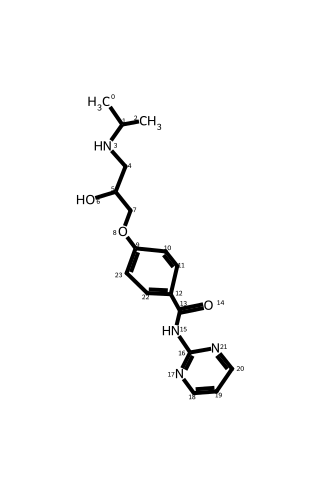 CC(C)NCC(O)COc1ccc(C(=O)Nc2ncccn2)cc1